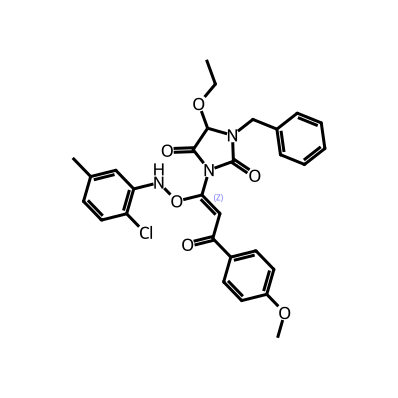 CCOC1C(=O)N(/C(=C/C(=O)c2ccc(OC)cc2)ONc2cc(C)ccc2Cl)C(=O)N1Cc1ccccc1